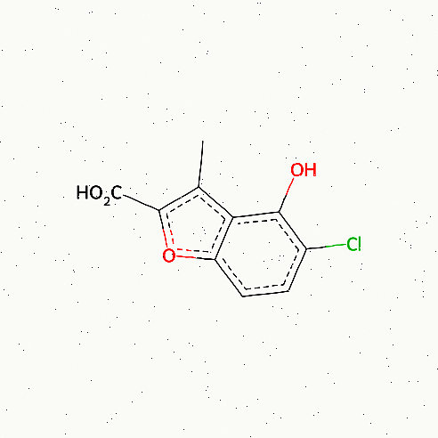 Cc1c(C(=O)O)oc2ccc(Cl)c(O)c12